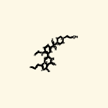 CCCc1nc(C)c2c(=O)[nH]c(-c3cc(S(=O)(=O)N4CCN(CCO)CC4)ccc3OCC)nn12